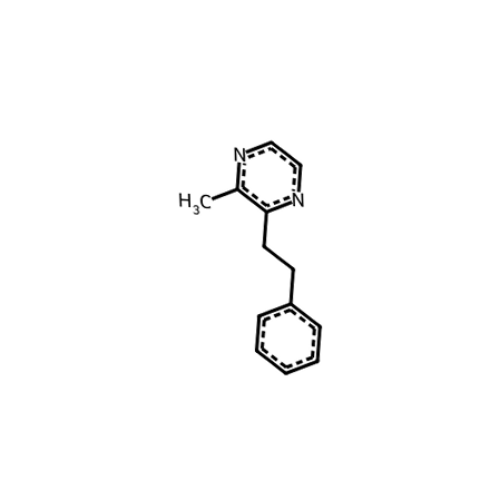 Cc1nccnc1CCc1ccccc1